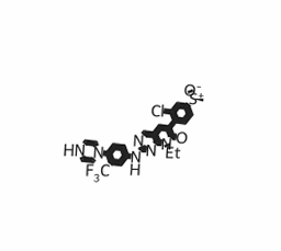 CCn1c(=O)c(-c2ccc([S@+](C)[O-])cc2Cl)cc2cnc(Nc3ccc(N4CCNCC4)c(C(F)(F)F)c3)nc21